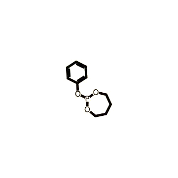 c1ccc(OP2OCCCCO2)cc1